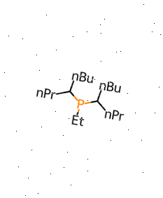 CCCCC(CCC)P(CC)C(CCC)CCCC